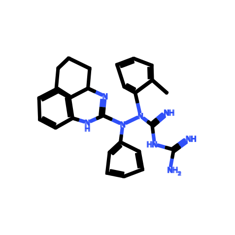 Cc1ccccc1N(C(=N)NC(=N)N)N(C(=NC1CCCCC1)Nc1ccccc1)c1ccccc1